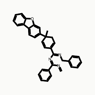 C=N/C(=N\C(=N/Cc1ccccc1)C1=CCC(C)(c2ccc3c(c2)oc2ccccc23)C=C1)c1ccccc1